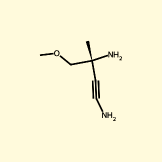 COC[C@](C)(N)C#CN